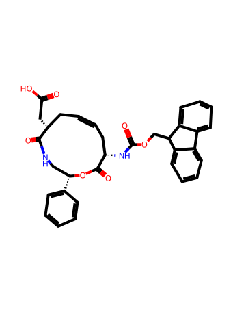 O=C(O)C[C@@H]1CC=CC[C@H](NC(=O)OCC2c3ccccc3-c3ccccc32)C(=O)O[C@H](c2ccccc2)CNC1=O